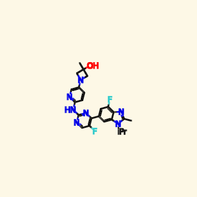 Cc1nc2c(F)cc(-c3nc(Nc4ccc(N5CC(C)(O)C5)cn4)ncc3F)cc2n1C(C)C